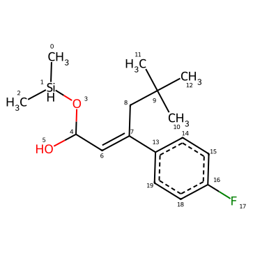 C[SiH](C)OC(O)C=C(CC(C)(C)C)c1ccc(F)cc1